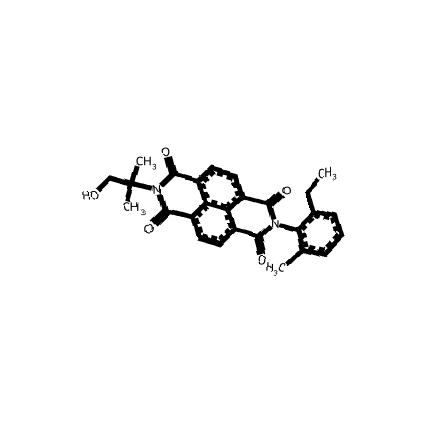 CCc1cccc(C)c1N1C(=O)c2ccc3c4c(ccc(c24)C1=O)C(=O)N(C(C)(C)CO)C3=O